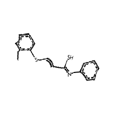 Cc1ccccc1SC=CC(S)=Nc1ccccc1